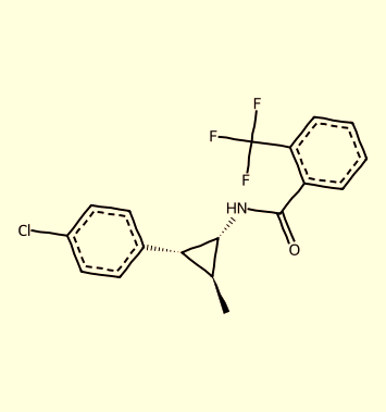 C[C@@H]1[C@@H](NC(=O)c2ccccc2C(F)(F)F)[C@H]1c1ccc(Cl)cc1